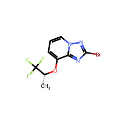 C[C@@H](Oc1cccn2nc(Br)nc12)C(F)(F)F